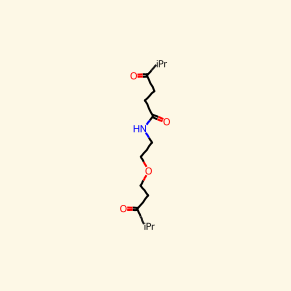 CC(C)C(=O)CCOCCNC(=O)CCC(=O)C(C)C